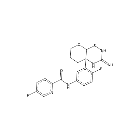 N=C1NSC2OCCCC2(c2cc(NC(=O)c3ccc(F)cn3)ccc2F)N1